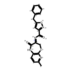 Cc1ccc2c(n1)OC/C(=N\C(=O)c1cc(Cc3ccccc3)on1)C(=O)N2